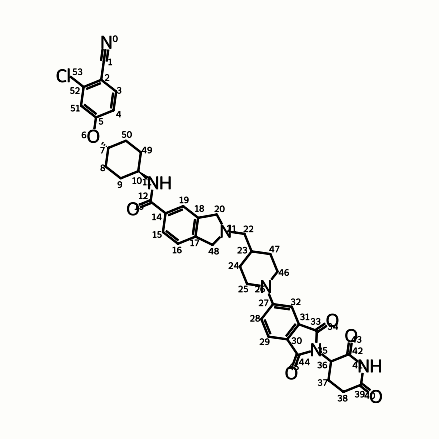 N#Cc1ccc(O[C@H]2CC[C@H](NC(=O)c3ccc4c(c3)CN(CC3CCN(c5ccc6c(c5)C(=O)N(C5CCC(=O)NC5=O)C6=O)CC3)C4)CC2)cc1Cl